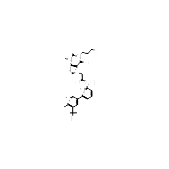 Cc1ncc(-c2cccc(NC(=O)Cn3cnc4c3c(=O)n(CCCO)c(=O)n4C)n2)cc1C(F)(F)F